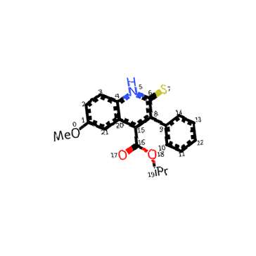 COc1ccc2[nH]c(=S)c(-c3ccccc3)c(C(=O)OC(C)C)c2c1